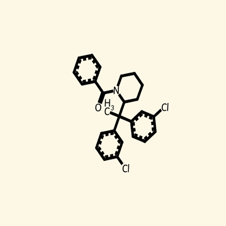 CC(c1cccc(Cl)c1)(c1cccc(Cl)c1)C1CCCCN1C(=O)c1ccccc1